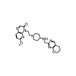 COc1ccc2ncc(=O)n(CCN3CCC(NCc4ncc5c(n4)OCCC5)CC3)c2n1